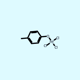 Cc1ccc([O][Hf]([Cl])([Cl])[Cl])cc1